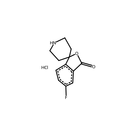 Cl.O=C1OC2(CCNCC2)c2ccc(F)cc21